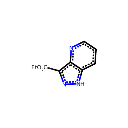 CCOC(=O)c1n[nH]c2cccnc12